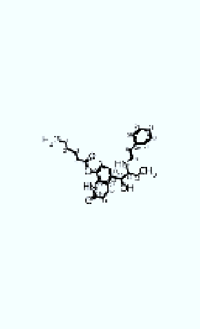 CCCCCC(=O)Oc1ccc(C(O)C(CC)NCCc2ccccc2)c2c1NC(=O)CC2